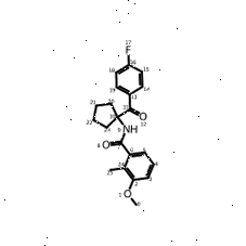 COc1cccc(C(=O)NC2(C(=O)c3ccc(F)cc3)CCCC2)c1C